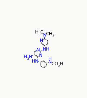 CN(C)c1ccc(Nc2ncc(N)c(Nc3cccc(NC(=O)O)c3)n2)cn1